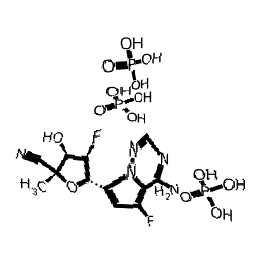 C[C@]1(C#N)O[C@@H](c2cc(F)c3c(N)ncnn23)[C@H](F)[C@@H]1O.O=P(O)(O)O.O=P(O)(O)O.O=P(O)(O)O